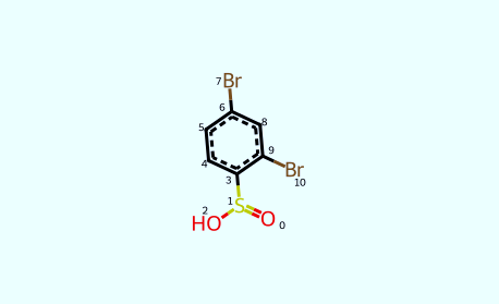 O=S(O)c1ccc(Br)cc1Br